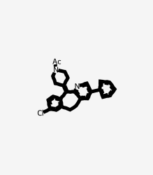 CC(=O)N1CCC(=C2c3ccc(Cl)cc3CCc3cc(-c4ccccc4)cnc32)CC1